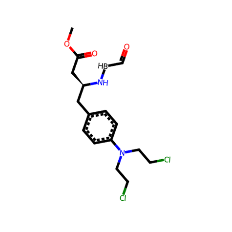 COC(=O)C[C@H](Cc1ccc(N(CCCl)CCCl)cc1)NBC=O